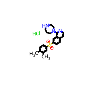 Cc1ccc(S(=O)(=O)c2ccc3ccnc(N4CCCNCC4)c3c2)cc1C.Cl